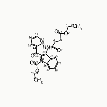 CCOC(=O)CCC(=O)Nc1c(C(=O)c2cccnc2)n(C(=O)OCC)c2ccccc12